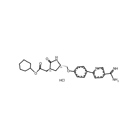 Cl.N=C(N)c1ccc(-c2ccc(OC[C@@H]3C[C@@H](CC(=O)OC4CCCCC4)C(=O)N3)cc2)nc1